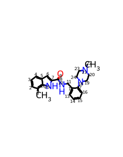 Cc1cccc2cc(C(=O)NCc3ccccc3N3CCN(C)CC3)[nH]c12